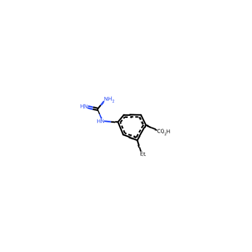 CCc1cc(NC(=N)N)ccc1C(=O)O